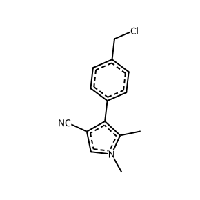 Cc1c(-c2ccc(CCl)cc2)c(C#N)cn1C